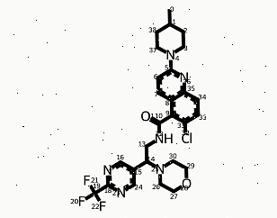 CC1CCN(c2ccc3c(C(=O)NCC(c4cnc(C(F)(F)F)nc4)N4CCOCC4)c(Cl)ccc3n2)CC1